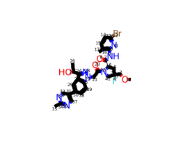 COC[C@]1(F)C[C@@H](C(=O)Nc2nc(Br)ccc2C)N(C(=O)Cn2nc(C(C)O)c3cc(-c4cnc(C)nc4)ccc32)C1